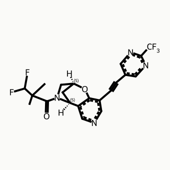 CC(C)(C(=O)N1C[C@@H]2C[C@H]1c1cncc(C#Cc3cnc(C(F)(F)F)nc3)c1O2)C(F)F